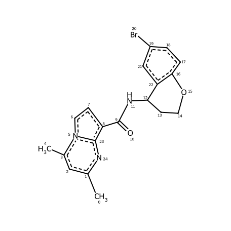 Cc1cc(C)n2ccc(C(=O)NC3CCOc4ccc(Br)cc43)c2n1